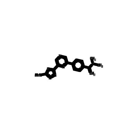 C=C(c1ccc(-c2cncc(-c3nnc(NC)o3)n2)cc1)N(C)C